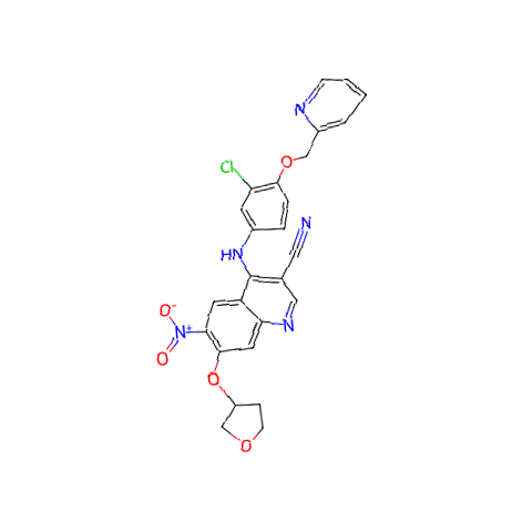 N#Cc1cnc2cc(OC3CCOC3)c([N+](=O)[O-])cc2c1Nc1ccc(OCc2ccccn2)c(Cl)c1